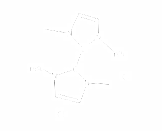 CCCCn1ccn(C)[c+]1-[c+]1n(C)ccn1CCC.[Cl-].[Cl-]